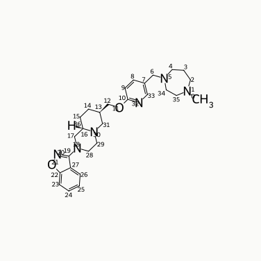 CN1CCCN(Cc2ccc(OC[C@@H]3CC[C@H]4CN(c5noc6ccccc56)CCN4C3)nc2)CC1